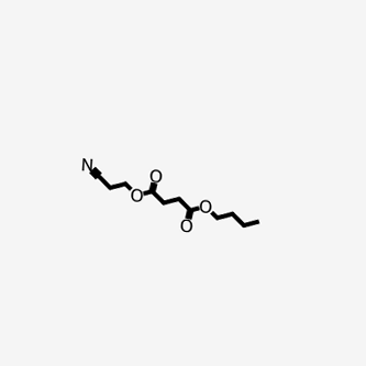 CCCCOC(=O)CCC(=O)OCCC#N